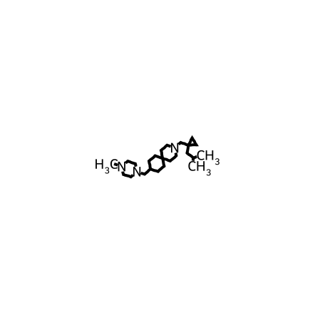 CC(C)CC1(CN2CCC3(CCC(CN4CCN(C)CC4)CC3)CC2)CC1